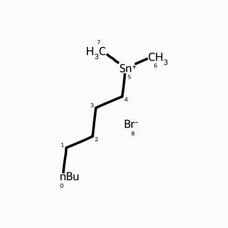 CCCCCCC[CH2][Sn+]([CH3])[CH3].[Br-]